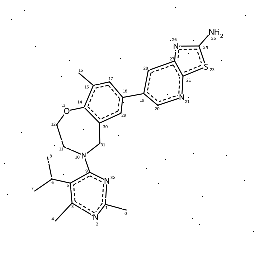 Cc1nc(C)c(C(C)C)c(N2CCOc3c(C)cc(-c4cnc5sc(N)nc5c4)cc3C2)n1